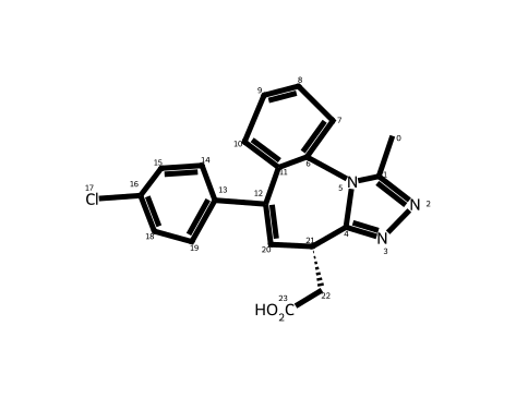 Cc1nnc2n1-c1ccccc1C(c1ccc(Cl)cc1)=C[C@H]2CC(=O)O